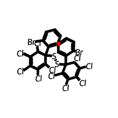 ClC1=C(Cl)C(Cl)C(SSC2(c3ccccc3Br)C(Cl)=C(Cl)C(Cl)=C(Cl)C2Cl)(c2ccccc2Br)C(Cl)=C1Cl